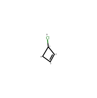 Cl[C]1C=CC1